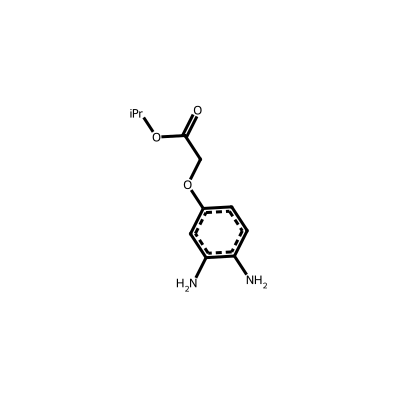 CC(C)OC(=O)COc1ccc(N)c(N)c1